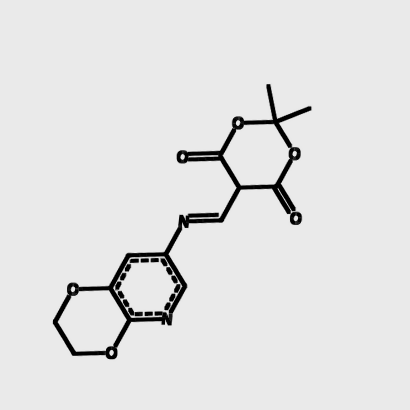 CC1(C)OC(=O)C(C=Nc2cnc3c(c2)OCCO3)C(=O)O1